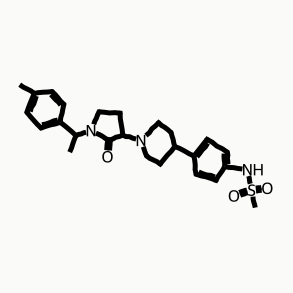 Cc1ccc(C(C)N2CCC(N3CCC(c4ccc(NS(C)(=O)=O)cc4)CC3)C2=O)cc1